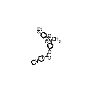 CCOc1ccc(S(=O)(=O)N(C)c2ccc(OCC(=O)N3CCC(N4CCCC4)CC3)cc2)cc1